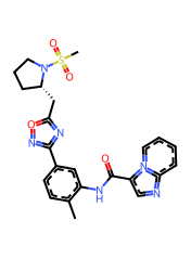 Cc1ccc(-c2noc(C[C@@H]3CCCN3S(C)(=O)=O)n2)cc1NC(=O)c1cnc2ccccn12